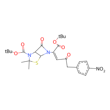 CC(C)(C)OC(=O)C(=CC(=O)Cc1ccc([N+](=O)[O-])cc1)N1C(=O)C2C1SC(C)(C)N2C(=O)OC(C)(C)C